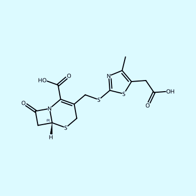 Cc1nc(SCC2=C(C(=O)O)N3C(=O)C[C@H]3SC2)sc1CC(=O)O